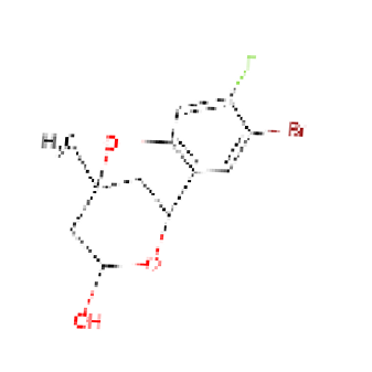 CC12CC(O)OC(C1)c1cc(Br)c(F)cc1O2